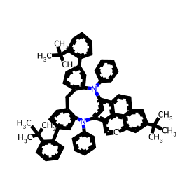 CC(C)(C)c1cc2ccc3c4cc(c5ccc(c1)c2c35)N(c1ccccc1)c1cc(-c2ccccc2C(C)(C)C)ccc1Cc1ccc(-c2ccccc2C(C)(C)C)cc1N4c1ccccc1